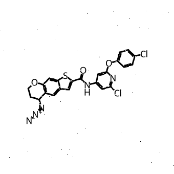 [N-]=[N+]=NC1CCOc2cc3sc(C(=O)Nc4cc(Cl)nc(Oc5ccc(Cl)cc5)c4)cc3cc21